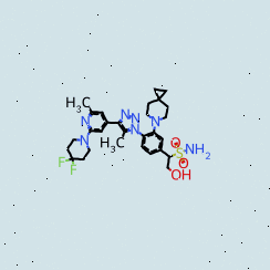 Cc1cc(-c2nnn(-c3ccc(C(CO)S(N)(=O)=O)cc3N3CCC4(CC3)CC4)c2C)cc(N2CCC(F)(F)CC2)n1